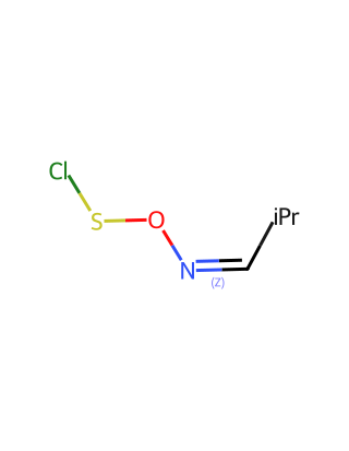 CC(C)/C=N\OSCl